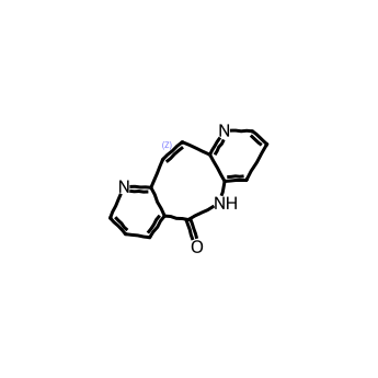 O=C1Nc2cccnc2/C=C\c2ncccc21